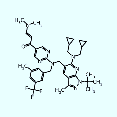 Cc1cc(CN(Cc2cc3c(C)nn(C(C)(C)C)c3nc2N(CC2CC2)CC2CC2)c2ncc(C(=O)/C=C/N(C)C)cn2)cc(C(F)(F)F)c1